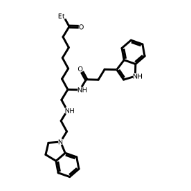 CCC(=O)CCCCCC(CNCCN1CCc2ccccc21)NC(=O)CCc1c[nH]c2ccccc12